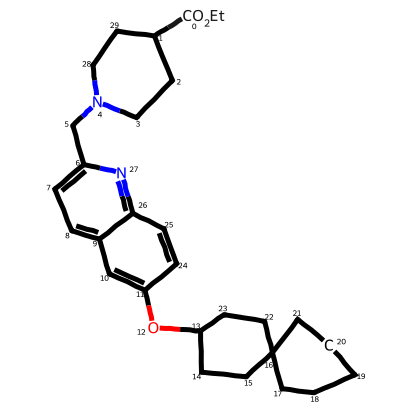 CCOC(=O)C1CCN(Cc2ccc3cc(OC4CCC5(CCCCC5)CC4)ccc3n2)CC1